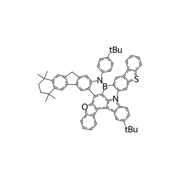 CC(C)(C)c1ccc(N2B3c4cc5c(cc4-n4c6ccc(C(C)(C)C)cc6c6c7c(oc8ccccc87)c(c3c64)-c3cc4c(cc32)Cc2cc3c(cc2-4)C(C)(C)CCC3(C)C)sc2ccccc25)cc1